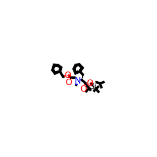 CC(C)C[Si](OC(=O)[C@H](Cc1ccccc1)N(C)CC(=O)OCc1ccccc1)(C(C)(C)C)C(C)(C)C